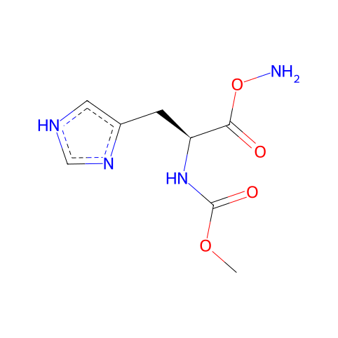 COC(=O)N[C@@H](Cc1c[nH]cn1)C(=O)ON